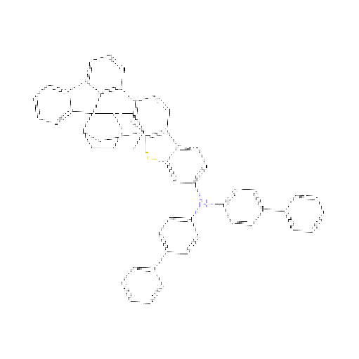 c1ccc(-c2ccc(N(c3ccc(-c4ccccc4)cc3)c3ccc4c(c3)sc3cc(-c5cccc6c5C5(c7ccccc7-6)C6CC7CC(C6)CC5C7)ccc34)cc2)cc1